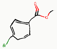 [CH2]OC(=O)c1ccc(Br)cc1